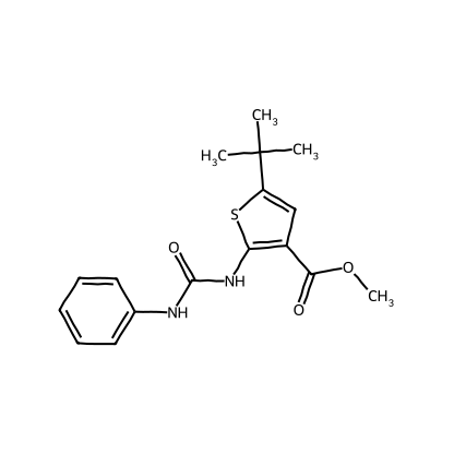 COC(=O)c1cc(C(C)(C)C)sc1NC(=O)Nc1ccccc1